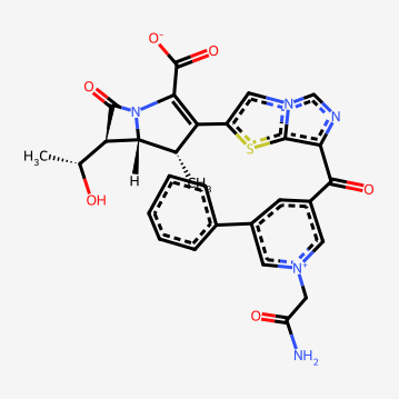 C[C@@H](O)[C@H]1C(=O)N2C(C(=O)[O-])=C(c3cn4cnc(C(=O)c5cc(-c6ccccc6)c[n+](CC(N)=O)c5)c4s3)[C@H](C)[C@H]12